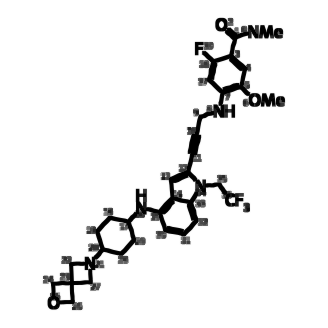 CNC(=O)c1cc(OC)c(NCC#Cc2cc3c(NC4CCC(N5CC6(COC6)C5)CC4)cccc3n2CC(F)(F)F)cc1F